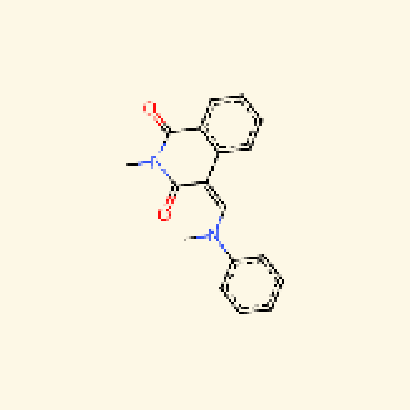 CN1C(=O)C(=CN(C)c2ccccc2)c2ccccc2C1=O